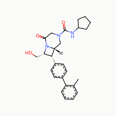 Cc1ccccc1-c1ccc([C@H]2[C@H]3CN(C(=O)NC4CCCC4)CC(=O)N3[C@H]2CO)cc1